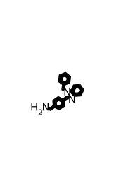 NCc1ccc(-c2nc3ccccc3n2Cc2ccccc2)cc1